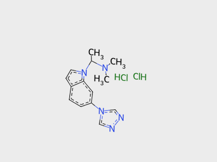 CC(N(C)C)n1ccc2ccc(-n3cnnc3)cc21.Cl.Cl